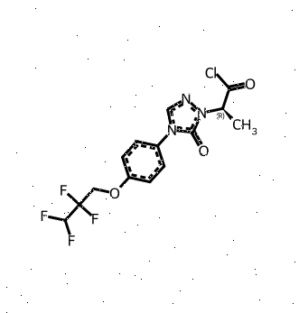 C[C@H](C(=O)Cl)n1ncn(-c2ccc(OCC(F)(F)C(F)F)cc2)c1=O